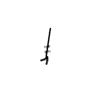 CCC=CCC=CCC=CCC=CCC=CCC=CCCC(=O)NCCCCNC(=O)C=CC=Cc1ccc(OCOCCOC)c(OCOCCOC)c1